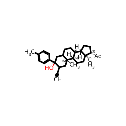 C#CC1C[C@@]2(C)C(CC[C@H]3[C@@H]4CC[C@H](C(C)=O)[C@@]4(C)CC[C@@H]32)C[C@@]1(O)c1ccc(C)cc1